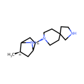 C[C@@H]1CC2NC1C[C@H]2N1CCC2(CCNC2)CC1